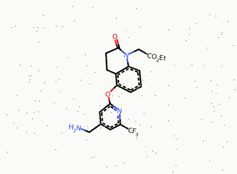 CCOC(=O)CN1C(=O)CCc2c(Oc3cc(CN)cc(C(F)(F)F)n3)cccc21